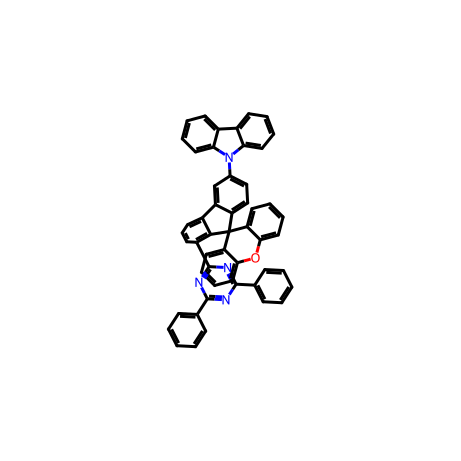 c1ccc(-c2nc(-c3ccccc3)nc(-c3cccc4c3C3(c5ccccc5Oc5ccccc53)c3ccc(-n5c6ccccc6c6ccccc65)cc3-4)n2)cc1